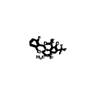 CCCN(Cc1c(F)cccc1Cl)c1c([N+](=O)[O-])cc(C(F)(F)F)c(Cl)c1[N+](=O)[O-]